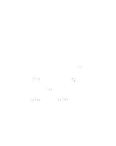 CCC[CH2][Sn]([CH2]CCC)([CH2]CCC)[c]1noc(C)c1C